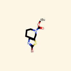 CC(C)(C)OC(=O)N1CCCc2nc(Br)sc2C1